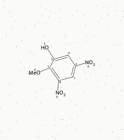 COc1c(O)cc([N+](=O)[O-])cc1[N+](=O)[O-]